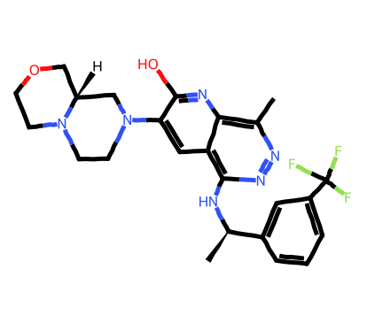 Cc1nnc(N[C@H](C)c2cccc(C(F)(F)F)c2)c2cc(N3CCN4CCOC[C@@H]4C3)c(O)nc12